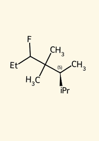 CCC(F)C(C)(C)[C@@H](C)C(C)C